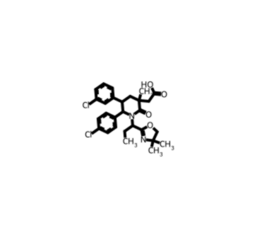 CCC(C1=NC(C)(C)CO1)N1C(=O)C(C)(CC(=O)O)CC(c2cccc(Cl)c2)C1c1ccc(Cl)cc1